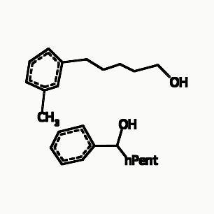 CCCCCC(O)c1ccccc1.Cc1cccc(CCCCCO)c1